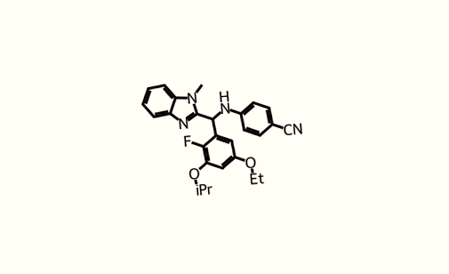 CCOc1cc(OC(C)C)c(F)c(C(Nc2ccc(C#N)cc2)c2nc3ccccc3n2C)c1